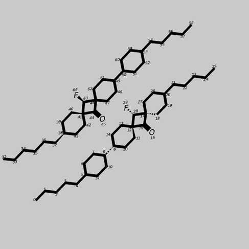 CCCCCC1CCC([C@H]2CC[C@]3(CC2)C(=O)[C@@]2(CCC(CCCCC)CC2)[C@H]3F)CC1.CCCCCC[C@H]1CC[C@]2(CC1)C(=O)C1(CCC(C3CCC(CCCCC)CC3)CC1)[C@@H]2F